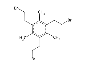 Cc1c(CCBr)c(C)c(CCBr)c(C)c1CCBr